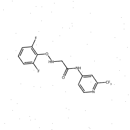 O=C(CNOc1c(F)cccc1F)Nc1ccnc(C(F)(F)F)c1